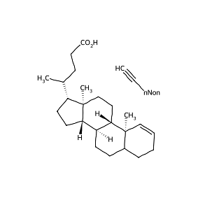 C#CCCCCCCCCC.CC(CCC(=O)O)[C@H]1CC[C@H]2[C@@H]3CCC4CCC=C[C@]4(C)[C@H]3CC[C@]12C